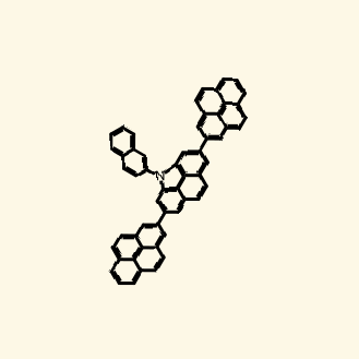 c1ccc2cc(-n3c4cc(-c5cc6ccc7cccc8ccc(c5)c6c78)cc5ccc6cc(-c7cc8ccc9cccc%10ccc(c7)c8c9%10)cc3c6c54)ccc2c1